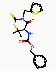 CC1(C)SC(=S)N(Cc2cccs2)C(=O)C1NC(=O)OCc1ccccc1